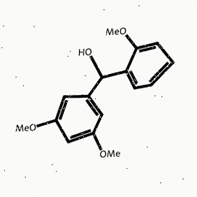 COc1cc(OC)cc(C(O)c2ccccc2OC)c1